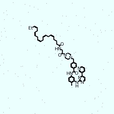 CC/C=C\C/C=C\C/C=C\C/C=C\C/C=C\CCCC(=O)NCC(=O)N1CCN(Cc2ccc(C(=O)Nc3ccc(C)c(Nc4nccc(-c5cccnc5)n4)c3)cc2)CC1